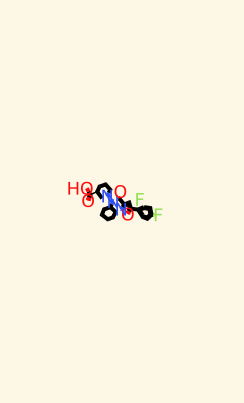 O=C(O)[C@H]1CCCN(N(C(=O)c2cc(-c3ccc(F)cc3F)on2)C2CCCCC2)C1